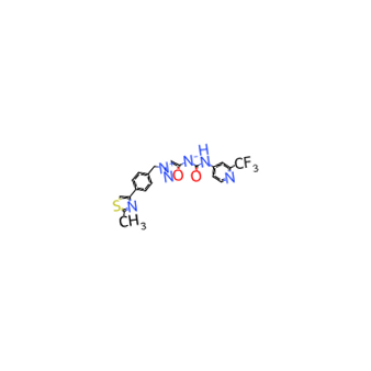 Cc1nc(-c2ccc(C[n+]3cc([N-]C(=O)Nc4ccnc(C(F)(F)F)c4)on3)cc2)cs1